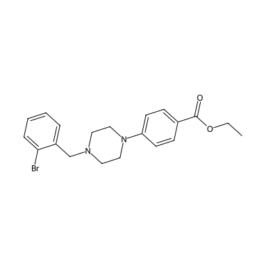 CCOC(=O)c1ccc(N2CCN(Cc3ccccc3Br)CC2)cc1